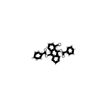 O=C(Oc1c2ccccc2c(OC(=O)c2ccccc2)c2c(Cl)cccc12)c1ccccc1